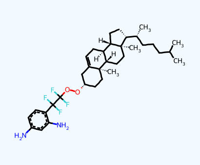 CC(C)CCC[C@@H](C)[C@H]1CC[C@H]2[C@@H]3CC=C4C[C@@H](OOC(F)(F)C(F)(F)c5ccc(N)cc5N)CC[C@]4(C)[C@H]3CC[C@]12C